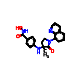 CC1(Nc2ccc(C(=O)NO)cc2)CCN(c2cccc3cccnc23)C1=O